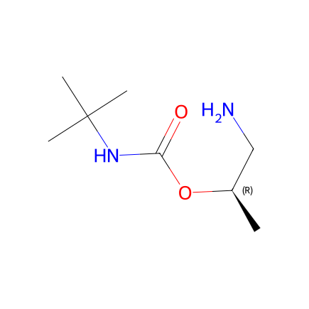 C[C@H](CN)OC(=O)NC(C)(C)C